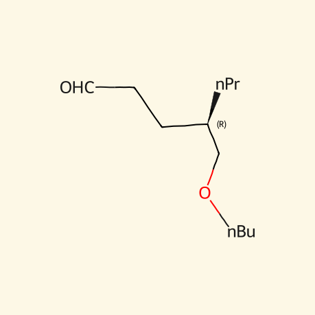 CCCCOC[C@H](CCC)CCC=O